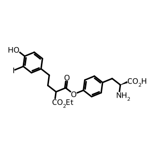 CCOC(=O)C(CCc1ccc(O)c(I)c1)C(=O)Oc1ccc(C[C@H](N)C(=O)O)cc1